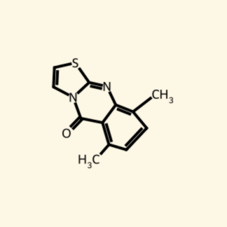 Cc1ccc(C)c2c(=O)n3ccsc3nc12